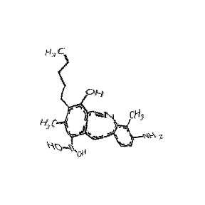 CCCCCc1c(C)c(B(O)O)c2cc3ccc(N)c(C)c3nc2c1O